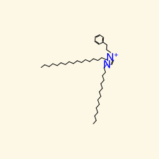 CCCCCCCCCCCCCCCCc1n(CCCCCCCCCCCCCCC)cc[n+]1CCCc1ccccc1